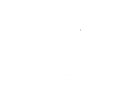 N#CCC(OC1OC(C(=O)O)C(O)C(O)C1O)(C1CCCC1)n1cc(-c2ncnc3[nH]ccc23)cn1